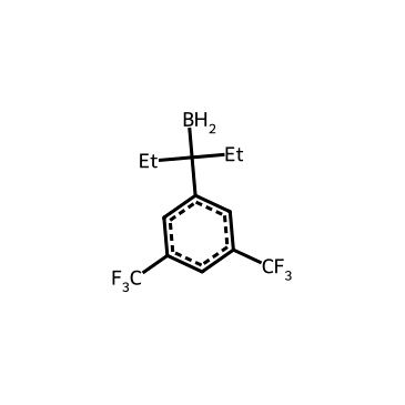 BC(CC)(CC)c1cc(C(F)(F)F)cc(C(F)(F)F)c1